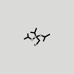 CC(C)O[Si](CBr)(OC(C)C)C(C)C